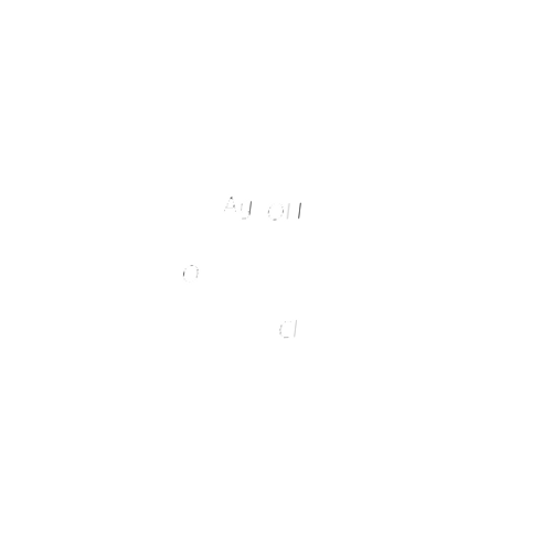 O=C(O)Cl.[Ag]